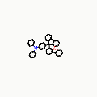 c1ccc(N(c2ccccc2)c2ccc(C3(c4cccc5c4oc4ccccc45)c4ccccc4-c4ccccc43)cc2)cc1